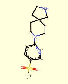 CS(=O)(=O)c1ccc(N2CCC3(CCNC3)CC2)nc1